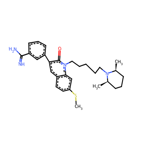 CSc1ccc2cc(-c3cccc(C(=N)N)c3)c(=O)n(CCCCCN3[C@H](C)CCC[C@@H]3C)c2c1